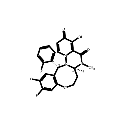 CN1C(=O)c2c(O)c(=O)ccn2N2[C@@H](c3ccccc3Br)c3cc(F)c(F)cc3OCC[C@H]12